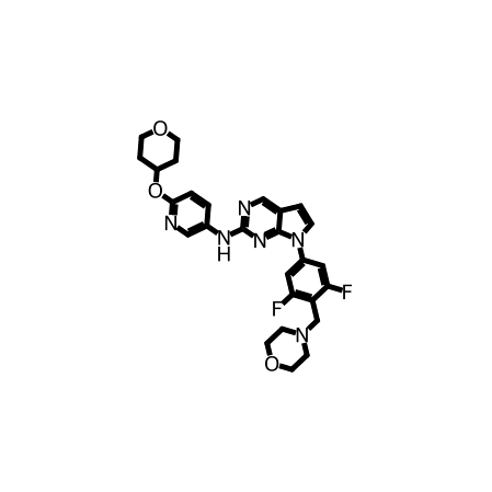 Fc1cc(-n2ccc3cnc(Nc4ccc(OC5CCOCC5)nc4)nc32)cc(F)c1CN1CCOCC1